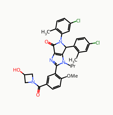 COc1ccc(C(=O)N2CC(O)C2)cc1-c1nc2c(n1C(C)C)C(c1ccc(Cl)cc1C)N(c1cc(Cl)ccc1C)C2=O